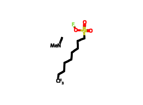 CNC.O=S(=O)(CCCCCCCCC(F)(F)F)OF